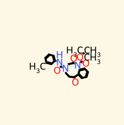 Cc1cccc(NC(=O)N2CCC(=O)c3ccccc3N(C(=O)OC(C)(C)C)C(=O)C2)c1